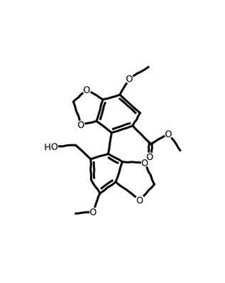 COC(=O)c1cc(OC)c2c(c1-c1c(CO)cc(OC)c3c1OCO3)OCO2